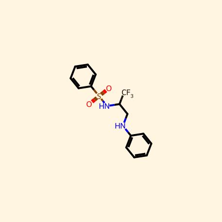 O=S(=O)(NC(CNc1ccccc1)C(F)(F)F)c1ccccc1